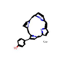 Oc1ccc(C2=CC3=CC4=NC(=CC5=NC(=CC6=NC(=CC2=N3)C=C6)C=C5)C=C4)cc1.[Cu]